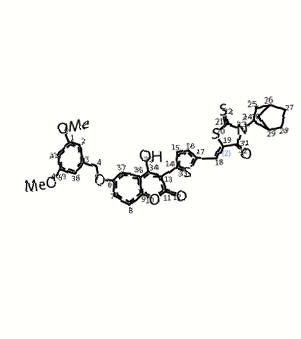 COc1cc(COc2ccc3oc(=O)c(-c4ccc(/C=C5\SC(=S)N(C6CC7CCC6C7)C5=O)s4)c(O)c3c2)cc(OC)c1